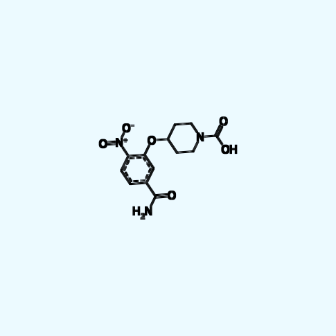 NC(=O)c1ccc([N+](=O)[O-])c(OC2CCN(C(=O)O)CC2)c1